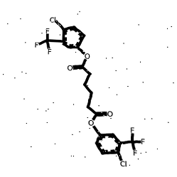 O=C(CCCCC(=O)Oc1ccc(Cl)c(C(F)(F)F)c1)Oc1ccc(Cl)c(C(F)(F)F)c1